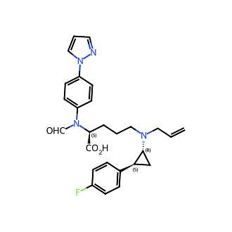 C=CCN(CCC[C@@H](C(=O)O)N(C=O)c1ccc(-n2cccn2)cc1)[C@@H]1C[C@H]1c1ccc(F)cc1